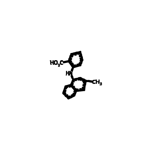 Cc1cc(Nc2ccccc2C(=O)O)c2ccccc2c1